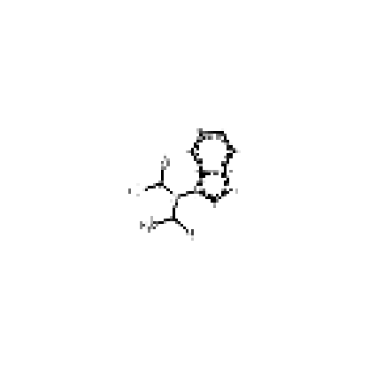 CC(Cl)N(C(C)Cl)n1cnc2ccccc21